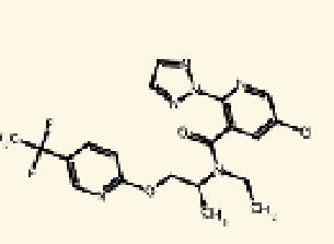 CCN(C(=O)c1cc(Cl)cnc1-n1nccn1)[C@@H](C)COc1ccc(C(C)(F)F)cn1